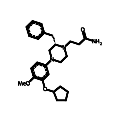 COc1ccc(N2CCN(CCC(N)=O)[C@@H](Cc3ccccc3)C2)cc1OC1CCCC1